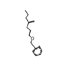 C=C(CCC)CCCOCc1ccccc1